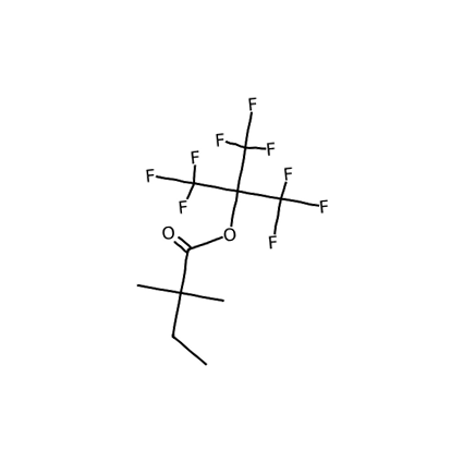 CCC(C)(C)C(=O)OC(C(F)(F)F)(C(F)(F)F)C(F)(F)F